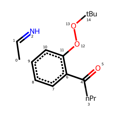 CC=N.CCCC(=O)c1ccccc1OOC(C)(C)C